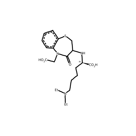 CCN(CC)CCCC[C@@H](NC1CSc2ccccc2N(CC(=O)O)C1=O)C(=O)O